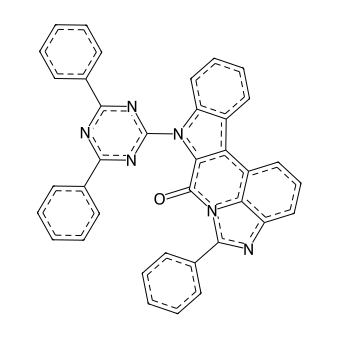 O=c1c2c(c3ccccc3n2-c2nc(-c3ccccc3)nc(-c3ccccc3)n2)c2cccc3nc(-c4ccccc4)n1c32